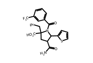 CC(C)CC1(C(=O)O)CC(C(N)=O)C(c2cccs2)N1C(=O)c1cccc(C(F)(F)F)c1